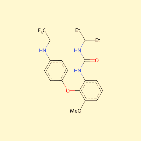 CCC(CC)NC(=O)Nc1cccc(OC)c1Oc1ccc(NCC(F)(F)F)cc1